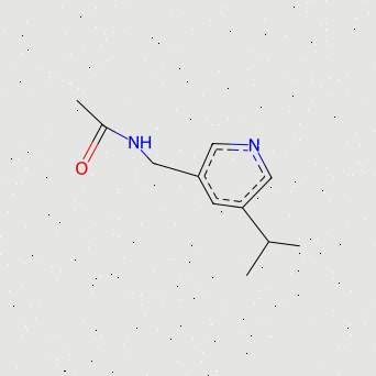 CC(=O)NCc1cncc(C(C)C)c1